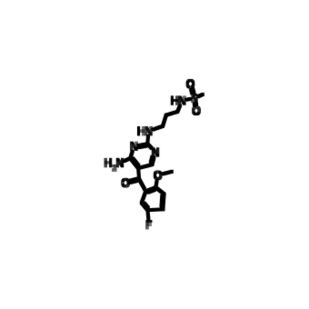 COc1ccc(F)cc1C(=O)c1cnc(NCCCNS(C)(=O)=O)nc1N